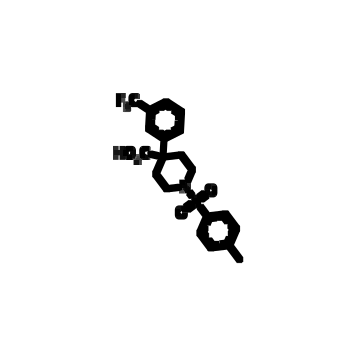 Cc1ccc(S(=O)(=O)N2CCC(C(=O)O)(c3cccc(C(F)(F)F)c3)CC2)cc1